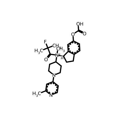 Cc1cc(N2CCC([N+](C)(C(=O)C(C)(C)F)[C@@H]3CCc4ccc(OC(=O)O)cc43)CC2)ccn1